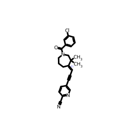 CC1(C)CN(C(=O)c2cccc(Cl)c2)CCC/C1=C\C#Cc1ccc(C#N)nc1